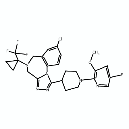 COc1cc(F)cnc1N1CCC(c2nnc3n2-c2ccc(Cl)cc2CN(C2(C(F)(F)F)CC2)C3)CC1